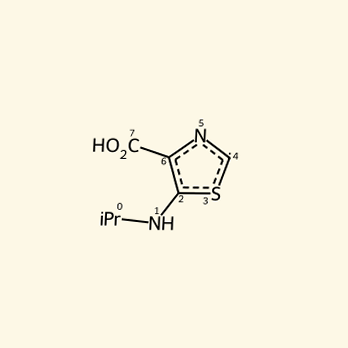 CC(C)Nc1s[c]nc1C(=O)O